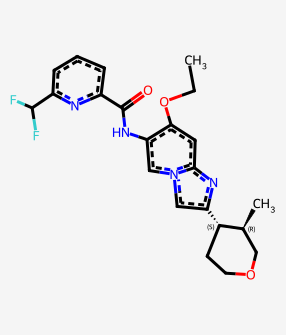 CCOc1cc2nc([C@H]3CCOC[C@@H]3C)cn2cc1NC(=O)c1cccc(C(F)F)n1